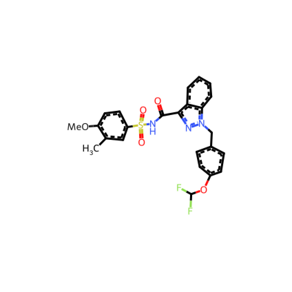 COc1ccc(S(=O)(=O)NC(=O)c2nn(Cc3ccc(OC(F)F)cc3)c3ccccc23)cc1C